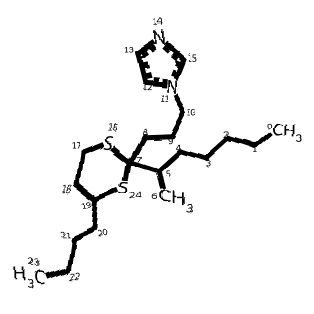 CCCCCC(C)C1(CCCn2ccnc2)SCCC(CCCC)S1